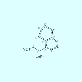 CCCC(CC#N)c1cccc2ccccc12